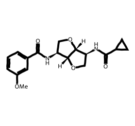 COc1cccc(C(=O)N[C@H]2CO[C@H]3[C@@H]2OC[C@@H]3NC(=O)C2CC2)c1